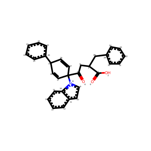 O=C(O)C(CC(=O)C1(n2ccc3ccccc32)C=CC(c2ccccc2)C=C1)Cc1ccccc1